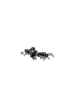 C=C(F)C(=O)Nc1ccc2c(-c3ccccc3CNc3nc(NC[C@H]4CCN(C(=O)CC(C)(C)c5c(C)cc(C)cc5OC(C)=O)C[C@@H]4O)nc4c(C(C)C)cnn34)nccc2c1